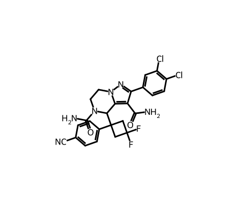 N#Cc1ccc(C2(C3c4c(C(N)=O)c(-c5ccc(Cl)c(Cl)c5)nn4CCN3C(N)=O)CC(F)(F)C2)cc1